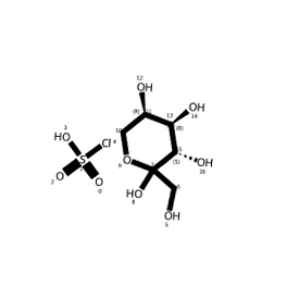 O=S(=O)(O)Cl.OCC1(O)OC[C@@H](O)[C@@H](O)[C@@H]1O